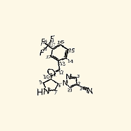 N#Cc1cnn([C@@H]2CNC[C@H]2OCc2cccc(C(F)(F)F)c2)c1